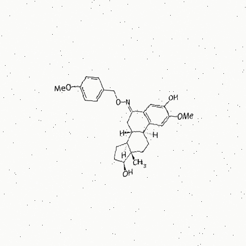 COc1ccc(CO/N=C2\C[C@@H]3[C@H](CC[C@]4(C)[C@@H](O)CC[C@@H]34)c3cc(OC)c(O)cc32)cc1